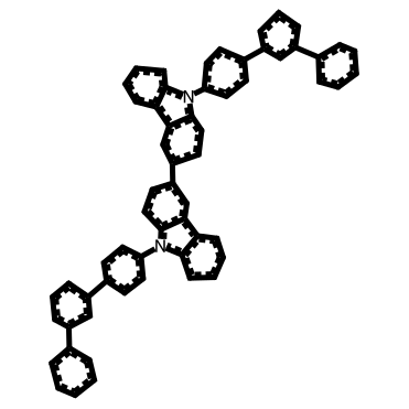 c1ccc(-c2cccc(-c3ccc(-n4c5ccccc5c5cc(-c6ccc7c(c6)c6ccccc6n7-c6ccc(-c7cccc(-c8ccccc8)c7)cc6)ccc54)cc3)c2)cc1